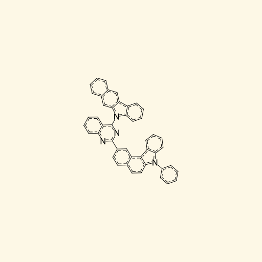 c1ccc(-n2c3ccccc3c3c4cc(-c5nc(-n6c7ccccc7c7cc8ccccc8cc76)c6ccccc6n5)ccc4ccc32)cc1